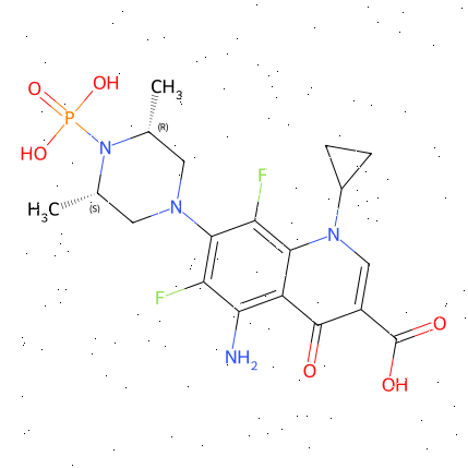 C[C@@H]1CN(c2c(F)c(N)c3c(=O)c(C(=O)O)cn(C4CC4)c3c2F)C[C@H](C)N1P(=O)(O)O